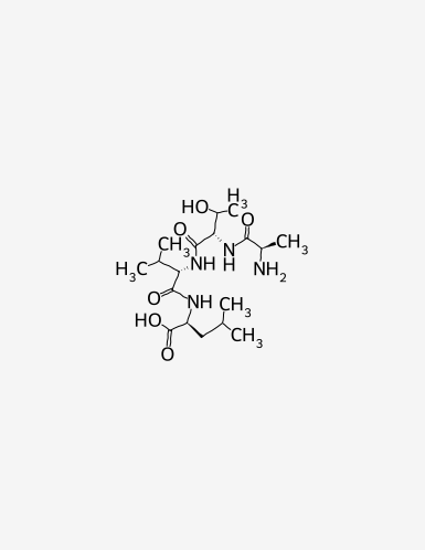 CC(C)C[C@H](NC(=O)[C@@H](NC(=O)[C@@H](NC(=O)[C@@H](C)N)C(C)O)C(C)C)C(=O)O